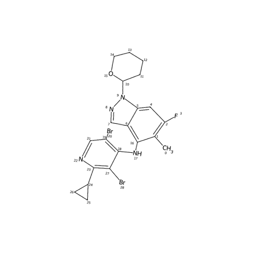 Cc1c(F)cc2c(cnn2C2CCCCO2)c1Nc1c(Br)cnc(C2CC2)c1Br